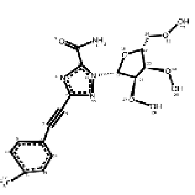 NC(=O)c1nc(C#Cc2ccc(C(F)(F)F)cc2)nn1[C@@H]1O[C@H](COO)[C@@H](OO)[C@H]1OO